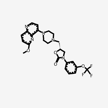 COc1ccc2nccc(N3CCN(C[C@@H]4CN(c5cccc(OC(F)(F)F)c5)C(=O)O4)CC3)c2n1